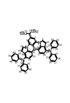 CC(C)(C)C(c1cc2c3c(c1)-n1ccc4c(N(c5ccccc5)c5ccccc5)ccc(c41)B3c1ccc(N(c3ccccc3)c3ccccc3)c3ccn-2c13)C(C)(C)C